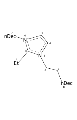 CCCCCCCCCCCCn1cc[n+](CCCCCCCCCC)c1CC